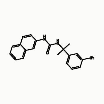 CC(C)c1cccc(C(C)(C)NC(=O)Nc2ccc3ccccc3c2)c1